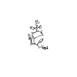 CS(=O)(=O)c1ccc(NC(=O)CC#N)c([N+](=O)[O-])c1